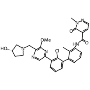 COc1nc(-c2cccc(-c3cccc(NC(=O)c4ccnn(C)c4=O)c3C)c2Cl)cnc1CN1CC[C@H](O)C1